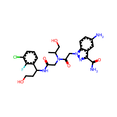 CC(CO)N(CC(=O)NC(CCO)c1cccc(Cl)c1F)C(=O)Cn1nc(C(N)=O)c2cc(N)ccc21